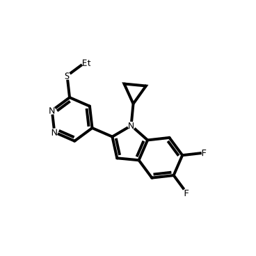 CCSc1cc(-c2cc3cc(F)c(F)cc3n2C2CC2)cnn1